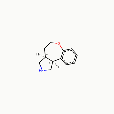 c1ccc2c(c1)OCC[C@@H]1CNC[C@H]21